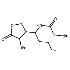 CC(C)CCC(NC(=O)OC(C)(C)C)C1COC(=O)C1C(C)C